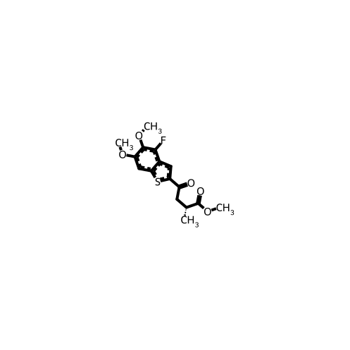 COC(=O)[C@H](C)CC(=O)c1cc2c(F)c(OC)c(OC)cc2s1